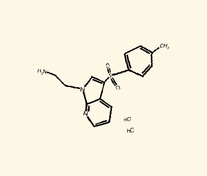 Cc1ccc(S(=O)(=O)c2cn(CCN)c3ncccc23)cc1.Cl.Cl